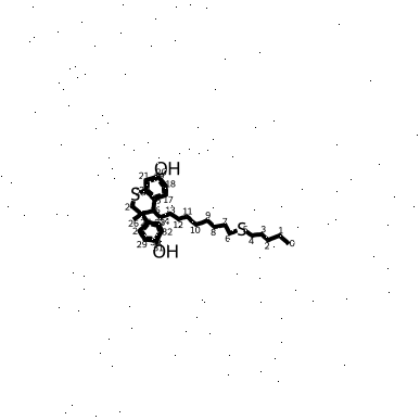 CCCCCSCCCCCCCCCC1c2ccc(O)cc2SCC1(C)c1ccc(O)cc1